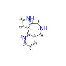 c1cnc2c(c1)CNCc1[nH]ccc1-2